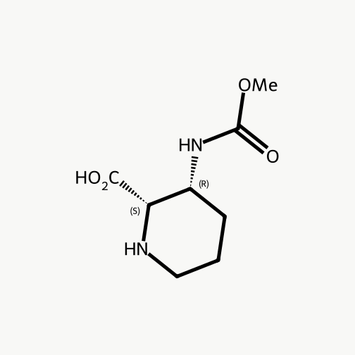 COC(=O)N[C@@H]1CCCN[C@@H]1C(=O)O